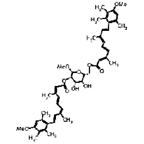 COc1cc(C)c(C=CC(C)=CC=CC(C)=CC(=O)OC[C@H]2O[C@H](OC)[C@H](OC(=O)C=C(C)C=CC=C(C)C=Cc3c(C)cc(OC)c(C)c3C)[C@@H](O)[C@@H]2O)c(C)c1C